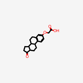 O=C(O)COc1ccc2c(c1)CCC1C2CCC2C(=O)CCC21